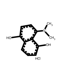 C[S+](C)c1ccc(O)c2cccc(O)c12.Cl